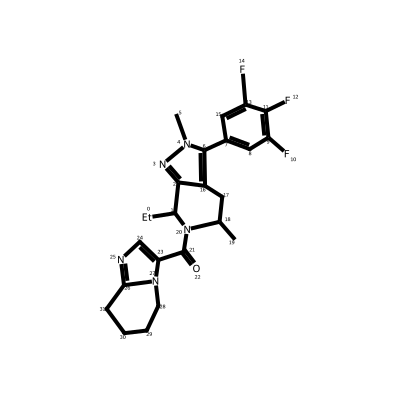 CCC1c2nn(C)c(-c3cc(F)c(F)c(F)c3)c2CC(C)N1C(=O)c1cnc2n1CCCC2